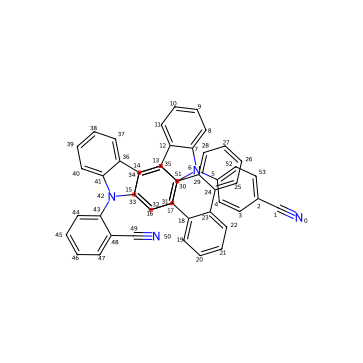 N#Cc1ccc(-n2c3ccccc3c3cccc(-c4ccccc4-c4ccccc4-c4ccc5c(c4)c4ccccc4n5-c4ccccc4C#N)c32)cc1